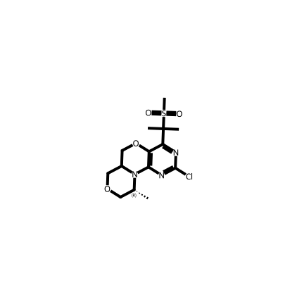 C[C@@H]1COCC2COc3c(nc(Cl)nc3C(C)(C)S(C)(=O)=O)N21